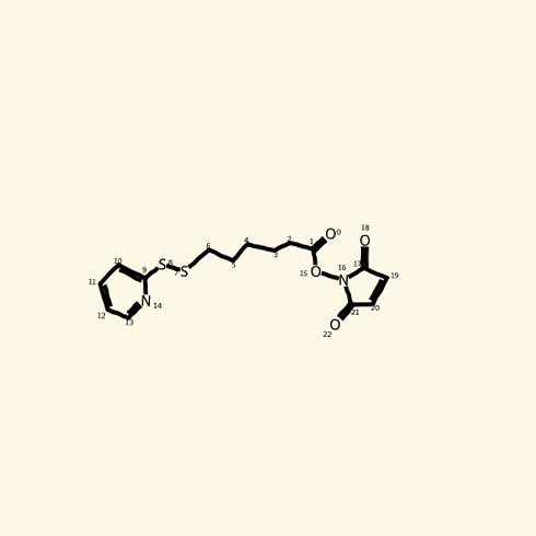 O=C(CCCCCSSc1ccccn1)ON1C(=O)C=CC1=O